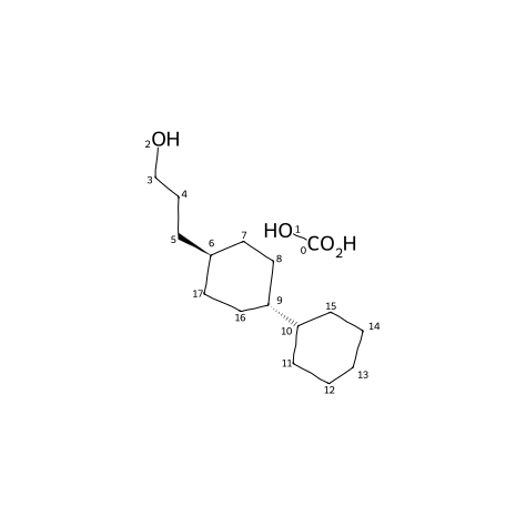 O=C(O)O.OCCC[C@H]1CC[C@H](C2CCCCC2)CC1